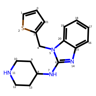 c1csc(Cn2c(NC3CCNCC3)nc3ccccc32)c1